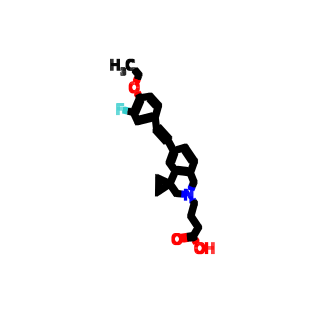 CCOc1ccc(C#Cc2ccc3c(c2)C2(CC2)CN(CCCC(=O)O)C3)cc1F